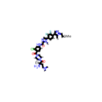 CCC(N)(CCN(C)C)C(=O)N1CCN(C(=O)c2ccc(NC(=O)c3ncc(-c4ccc(-c5cnn(CCOC)c5C)c(F)c4F)n3C)cc2Cl)CC1